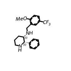 COc1ccc(C(F)(F)F)cc1CN[C@H]1CCCN[C@H]1c1ccccc1